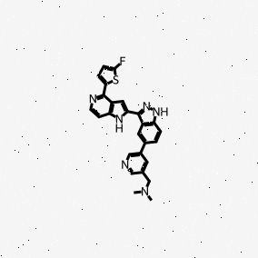 CN(C)Cc1cncc(-c2ccc3[nH]nc(-c4cc5c(-c6ccc(F)s6)nccc5[nH]4)c3c2)c1